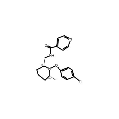 C[C@@H]1CCC[C@H](CNC(=O)c2ccncc2)N1Oc1ccc(Cl)cc1